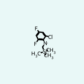 C[Si](C)(C)C[N]c1c(F)cc(F)cc1Cl